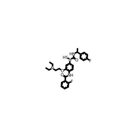 CCN(CC)CCOc1cc(N(S)C(=O)NC(C)c2ccc(F)cc2)ccc1NC(=O)c1ccccc1F